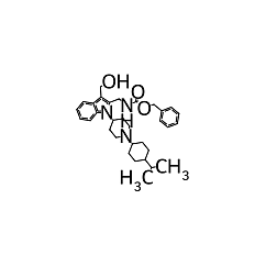 CC(C)C1CCC(N2CCC(n3c(CNC(=O)OCc4ccccc4)c(CO)c4ccccc43)CC2)CC1